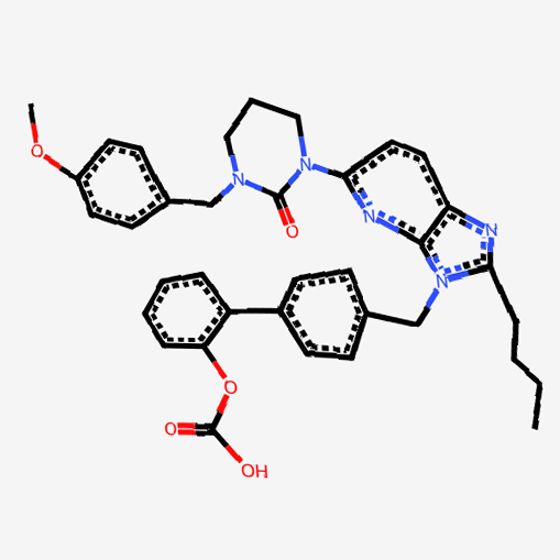 CCCCc1nc2ccc(N3CCCN(Cc4ccc(OC)cc4)C3=O)nc2n1Cc1ccc(-c2ccccc2OC(=O)O)cc1